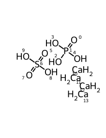 O=P(O)(O)O.O=S(=O)(O)O.[CaH2].[CaH2].[CaH2].[CaH2]